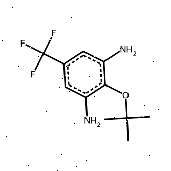 CC(C)(C)Oc1c(N)cc(C(F)(F)F)cc1N